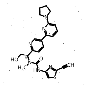 C#Cc1nc(NC(=O)N(C)[C@@H](CO)c2ccc(-c3cccc(N4CCCC4)n3)cn2)cs1